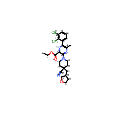 CCOC(=O)c1nc(-c2cccc(Cl)c2Cl)c(C)nc1N1CCC(C#N)(CC2CCOC2)CC1